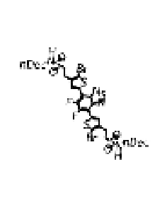 CCCCCCCCCCNS(=O)(=O)CCc1cc(-c2c(F)c(F)c(-c3cc(CCS(=O)(=O)NCCCCCCCCCC)c(Br)s3)c3nsnc23)sc1Br